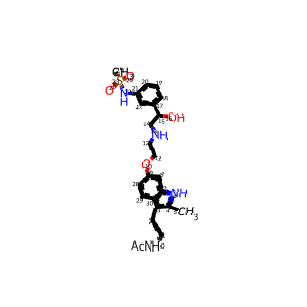 CC(=O)NCCc1c(C)[nH]c2cc(OCCNCC(O)c3cccc(NS(C)(=O)=O)c3)ccc12